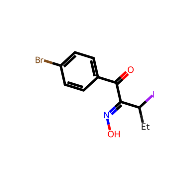 CCC(I)C(=NO)C(=O)c1ccc(Br)cc1